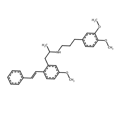 COc1ccc(C=Cc2ccccc2)c(CC(C)NCCCc2ccc(OC)c(OC)c2)c1